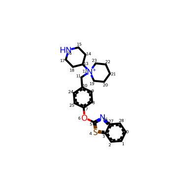 c1ccc2sc(Oc3ccc(C[N+]4(C5CCNCC5)CCCCC4)cc3)nc2c1